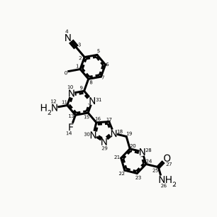 Cc1c(C#N)cccc1-c1nc(N)c(F)c(-c2cn(Cc3cccc(C(N)=O)n3)nn2)n1